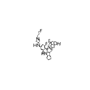 C[C@@H]1Cc2c([nH]c3ccccc23)[C@@H](c2c(F)cc(NC3CN(CCCF)C3)cc2F)N1C[C@](F)(Cl)CO